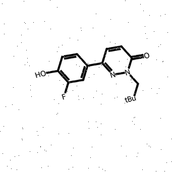 CC(C)(C)Cn1nc(-c2ccc(O)c(F)c2)ccc1=O